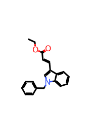 CCOC(=O)C=Cc1cn(Cc2ccccc2)c2ccccc12